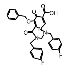 O=C(O)c1cn2c(c(OCc3ccccc3)c1=O)C(=O)N(Cc1ccc(F)cc1)CN2Cc1ccc(F)cc1